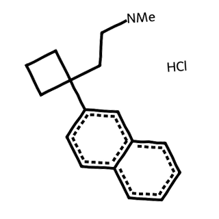 CNCCC1(c2ccc3ccccc3c2)CCC1.Cl